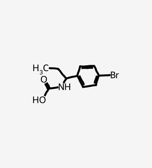 CCC(NC(=O)O)c1ccc(Br)cc1